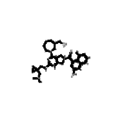 CN(C)CC1(COc2nc3c(c(N4CCCCC(CO)C4)n2)CN(C(=O)c2cc(O)cc4cccc(I)c24)C3)CC1